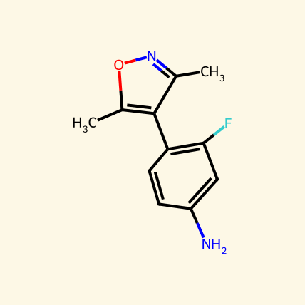 Cc1noc(C)c1-c1ccc(N)cc1F